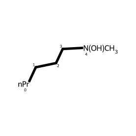 CCCCCCN(C)O